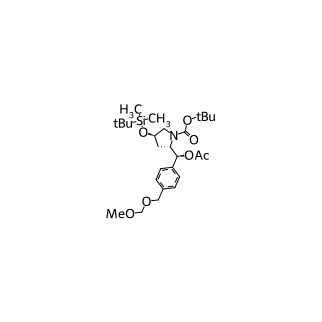 COCOCc1ccc([C@H](OC(C)=O)[C@@H]2C[C@@H](O[Si](C)(C)C(C)(C)C)CN2C(=O)OC(C)(C)C)cc1